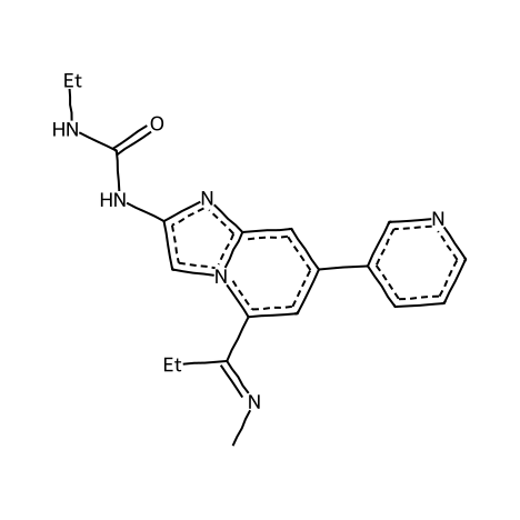 CCNC(=O)Nc1cn2c(/C(CC)=N/C)cc(-c3cccnc3)cc2n1